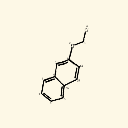 ClCOc1[c]c2ccccc2cc1